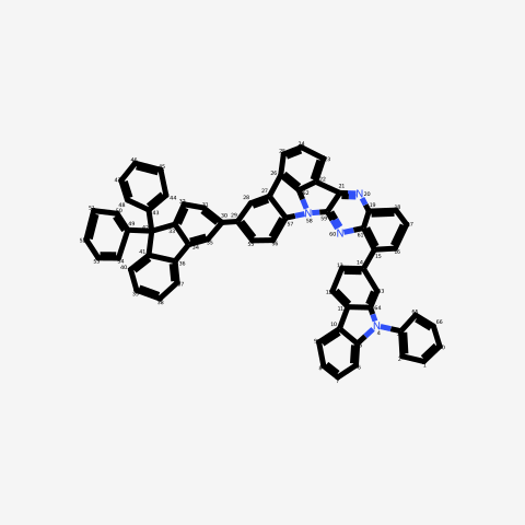 c1ccc(-n2c3ccccc3c3ccc(-c4cccc5nc6c7cccc8c9cc(-c%10ccc%11c(c%10)-c%10ccccc%10C%11(c%10ccccc%10)c%10ccccc%10)ccc9n(c6nc45)c87)cc32)cc1